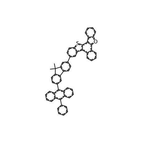 CC1(C)c2ccc(-c3c4ccccc4c(-c4ccccc4)c4ccccc34)cc2-c2ccc(-c3ccc4sc5c(c4c3)c3ccccc3c3oc4ccccc4c35)cc21